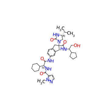 CC(C)[C@@H]1CN(C2(C(=O)NC(CO)C3CCCC3)Cc3ccc(NC(=O)[C@@H](NC(=O)c4ccnn4C)C4CCCCC4)cc3C2)C(=O)N1